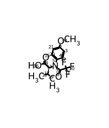 COc1ccc(N(C(=O)C(F)(F)F)[C@H](C(=O)O)C(C)C)cc1